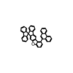 c1ccc2c(c1)-c1ccccc1C21c2ccccc2-c2cc3c(cc21)oc1cccc(-c2cc4ccccc4c4ccccc24)c13